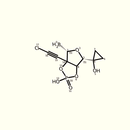 B[C@@H]1O[C@H](C2(O)CC2)C2OP(=O)(O)OC21C#CCl